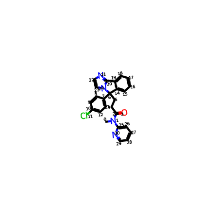 CN(C(=O)CCC1(c2ccc(Cl)cc2)c2ccccc2-c2nccn21)c1ccccn1